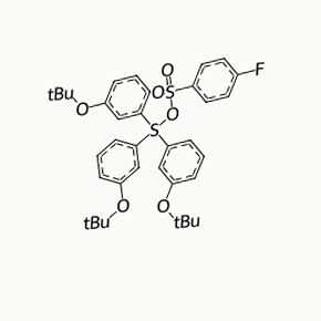 CC(C)(C)Oc1cccc(S(OS(=O)(=O)c2ccc(F)cc2)(c2cccc(OC(C)(C)C)c2)c2cccc(OC(C)(C)C)c2)c1